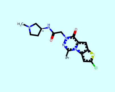 CC(C)c1nn(CC(=O)N[C@H]2CCN(C)C2)c(=O)c2cc3sc(Cl)cc3n12